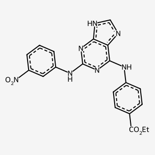 CCOC(=O)c1ccc(Nc2nc(Nc3cccc([N+](=O)[O-])c3)nc3[nH]cnc23)cc1